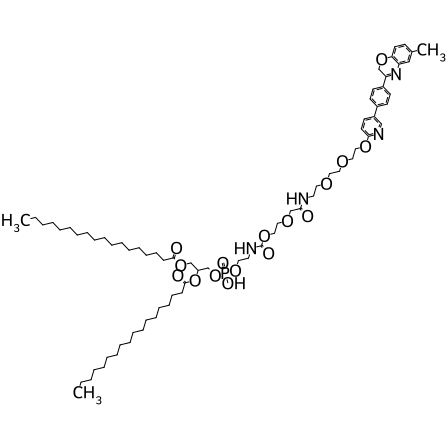 CCCCCCCCCCCCCCCCCC(=O)OCC(COP(=O)(O)OCCNC(=O)OCCOCC(=O)NCCOCCOCCOc1ccc(-c2ccc(C3=Nc4cc(C)ccc4OC3)cc2)cn1)OC(=O)CCCCCCCCCCCCCCCCC